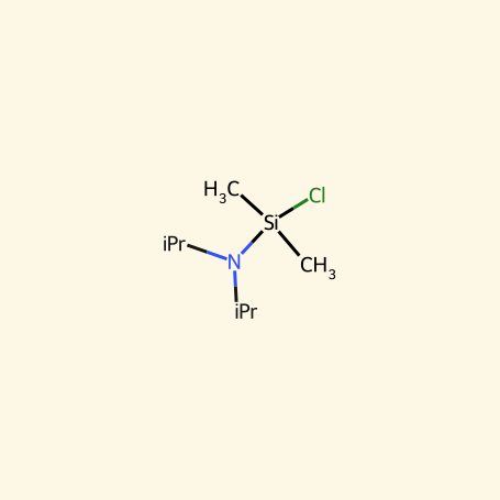 CC(C)N(C(C)C)[Si](C)(C)Cl